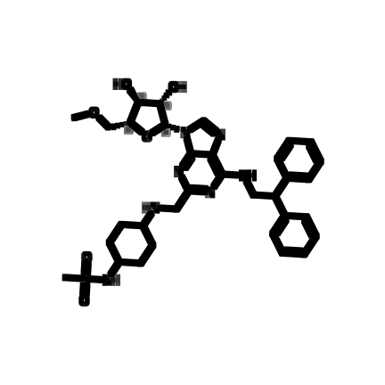 COC[C@H]1O[C@@H](n2cnc3c(NCC(c4ccccc4)c4ccccc4)nc(CNC4CCC(NS(C)(=O)=O)CC4)nc32)[C@@H](O)[C@@H]1O